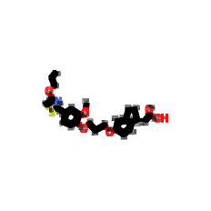 CCCOc1csc(-c2ccc(OCCCOc3ccc4c(c3)CC[C@H]4CC(=O)O)c(OC)c2)n1